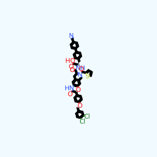 N#Cc1ccc(-c2ccc(C[C@H](NC(=O)C3Cc4cc5c(cc4CN3C(=O)c3cccs3)OC(c3ccc(OCc4ccc(Cl)c(Cl)c4)cc3)C(=O)N5)C(=O)O)cc2)cc1